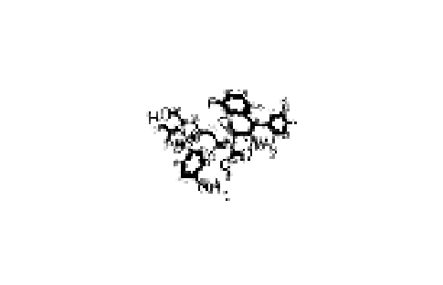 COC(=O)N(C(=O)[C@@H](N)C(c1cccc(F)c1)c1cccc(F)c1)[C@@H](C)CCC[C@@H](CO)N(C(C)C)S(=O)(=O)c1ccc(N)cc1